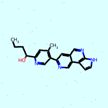 CCCC(O)c1cc(C)c(-c2cc3cnc4[nH]ccc4c3cn2)cn1